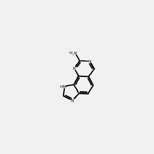 Nc1ncc2ccc3nc[nH]c3c2n1